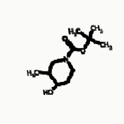 CC1CN(C(=O)OC(C)(C)C)CC[C@H]1O